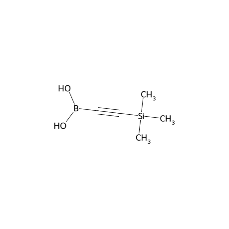 C[Si](C)(C)C#CB(O)O